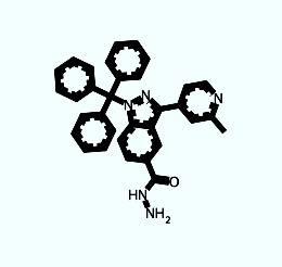 Cc1cc(-c2nn(C(c3ccccc3)(c3ccccc3)c3ccccc3)c3ccc(C(=O)NN)cc23)ccn1